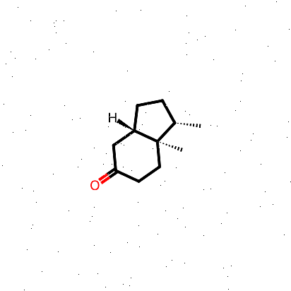 C[C@H]1CC[C@H]2CC(=O)CC[C@@]21C